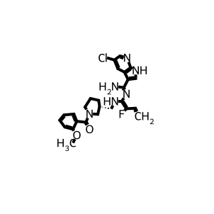 C=C/C(F)=C(\N=C(/N)c1c[nH]c2ncc(Cl)cc12)NC[C@H]1CCCN(C(=O)c2ccccc2OC)C1